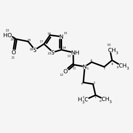 CC(C)CCN(CCC(C)C)C(=O)Nc1ncc(SCC(=O)O)s1